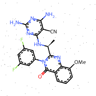 COc1cccc2c(=O)n(-c3cc(F)cc(F)c3)c([C@H](C)Nc3nc(N)nc(N)c3C#N)nc12